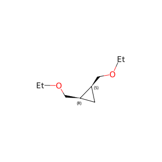 CCOC[C@@H]1C[C@@H]1COCC